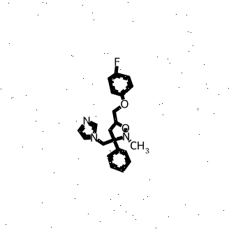 CN1OC(COc2ccc(F)cc2)CC1(Cn1ccnc1)c1ccccc1